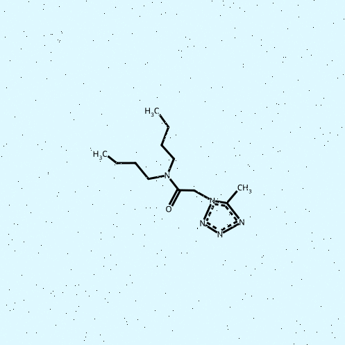 CCCCN(CCCC)C(=O)Cn1nnnc1C